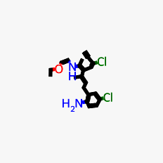 C#C\C(Cl)=C/C(=C(\C)N/C=C\OCC)C(/C)=C/Cc1cc(Cl)ccc1N